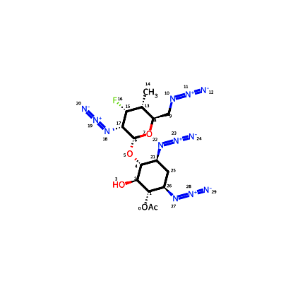 CC(=O)O[C@@H]1[C@@H](O)[C@H](O[C@H]2O[C@H](CN=[N+]=[N-])[C@@H](C)[C@@H](F)[C@H]2N=[N+]=[N-])[C@@H](N=[N+]=[N-])C[C@H]1N=[N+]=[N-]